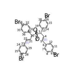 O=S(=O)(C(/C=C/c1ccc(Br)cc1)c1ccc(Br)cc1)C(/C=C/c1ccc(Br)cc1)c1ccc(Br)cc1